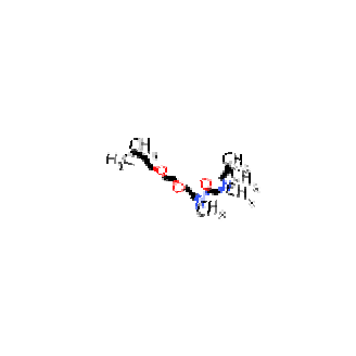 CC(C)CCOCCOCCN(C)C(=O)CN(C)CC(C)C